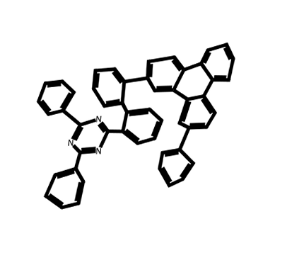 c1ccc(-c2ccc3c4ccccc4c4ccc(-c5ccccc5-c5ccccc5-c5nc(-c6ccccc6)nc(-c6ccccc6)n5)cc4c3c2)cc1